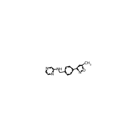 Cc1cc(-c2ccc(CNc3cnccn3)cc2)no1